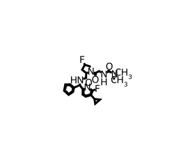 CN(C)C(=O)NCC(=O)N1CC(F)CC1C(=O)NC(c1ccccc1)c1ccc(C2CC2)c(F)n1